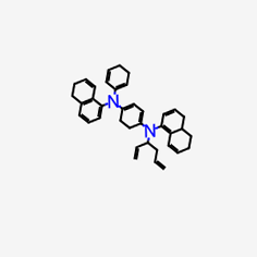 C=CCC(C=C)N(C1=CC=C(N(C2=CCCC=C2)c2cccc3c2C=CCC3)CC1)C1=C2C=CCCC2CC=C1